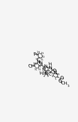 COC(=O)c1ccc(C2(C)C(=O)Nc3nc(-c4nn(Cc5ccccc5F)c5cc(Cl)ccc45)nc(N)c32)nc1